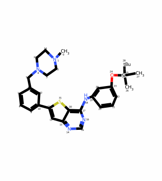 CN1CCN(Cc2cccc(-c3cc4ncnc(Nc5cccc(O[Si](C)(C)C(C)(C)C)c5)c4s3)c2)CC1